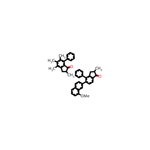 COc1cccc2ccc(-c3ccc4c(c3-c3ccccc3)CC(C)C4=O)cc12.Cc1c(C)c2c(c(-c3ccccc3)c1C)C(=O)C(C)C2